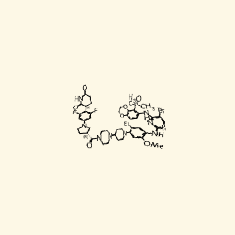 CCc1cc(Nc2ncc(Br)c(Nc3ccc4c(c3P(C)(C)=O)OCCO4)n2)c(OC)cc1N1CCC(N2CCN(C(=O)[C@@H]3CCN(c4cc(F)c([C@H]5CCC(=O)NC5=O)c(F)c4)C3)CC2)CC1